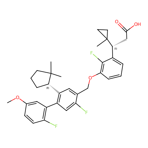 COc1ccc(F)c(-c2cc(F)c(COc3cccc([C@@H](CC(=O)O)C4(C)CC4)c3F)cc2[C@@H]2CCCC2(C)C)c1